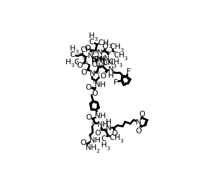 CC[C@H](C)[C@@H]([C@@H](CC(=O)N1C[C@@H](NC(=O)OCc2ccc(NC(=O)[C@H](CCCNC(N)=O)NC(=O)[C@@H](NC(=O)CCCCCN3C(=O)C=CC3=O)C(C)C)cc2)C[C@H]1[C@H](OC)[C@@H](C)C(=O)NCCc1c(F)cccc1F)OC)N(C)C(=O)[C@@H](NC(=O)[C@H](C(C)C)N(C)C)C(C)C